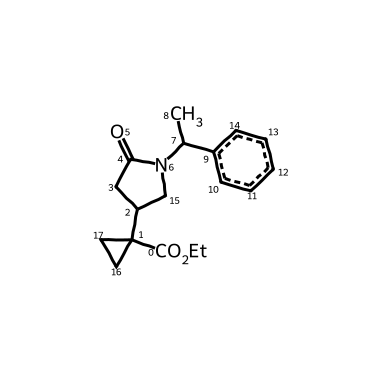 CCOC(=O)C1(C2CC(=O)N(C(C)c3ccccc3)C2)CC1